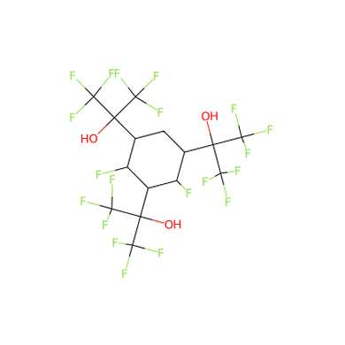 OC(C1CC(C(O)(C(F)(F)F)C(F)(F)F)C(F)C(C(O)(C(F)(F)F)C(F)(F)F)C1F)(C(F)(F)F)C(F)(F)F